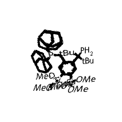 CO[Si](OC)(OC)c1cc(CP(C23CC4CC(CC(C4)C2)C3)C23CC4CC(CC(C4)C2)C3)c(C(P)(C(C)(C)C)C(C)(C)C)cc1[Si](OC)(OC)OC